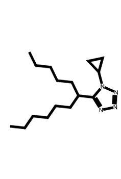 CCCCCCC(CCCCC)c1nnnn1C1CC1